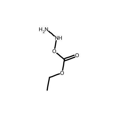 CCOC(=O)ONN